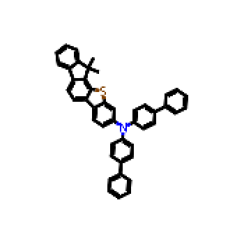 CC1(C)c2ccccc2-c2ccc3c(sc4cc(N(c5ccc(-c6ccccc6)cc5)c5ccc(-c6ccccc6)cc5)ccc43)c21